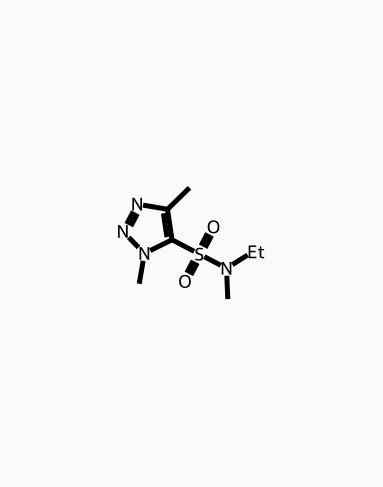 CCN(C)S(=O)(=O)c1c(C)nnn1C